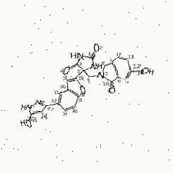 O=C1NC(=O)C(CN2Cc3ccc(O)cc3C2=O)(c2cc3cc(-c4cc(O)[nH]n4)ccc3o2)N1